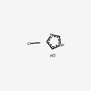 CCl.Cl.c1c[nH]cn1